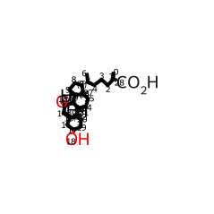 CC(CCCC(C)[C@H]1CC[C@H]2[C@@H]3C(=O)C=C4CC(O)CC[C@]4(C)[C@H]3CC[C@]12C)C(=O)O